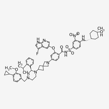 COc1cc(CN2CCN(C3CC4(C3)CN(c3ccc(C(=O)NS(=O)(=O)c5ccc(NC[C@H]6CC[C@](C)(O)CC6)c([N+](=O)[O-])c5)c(Oc5cnc6[nH]cc(F)c6c5)c3)C4)[C@H](c3ccccc3C(C)C)C2)ccc1C1CC1